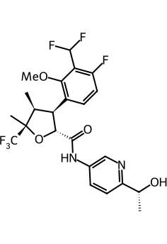 COc1c([C@H]2[C@H](C(=O)Nc3ccc([C@@H](C)O)nc3)O[C@@](C)(C(F)(F)F)[C@H]2C)ccc(F)c1C(F)F